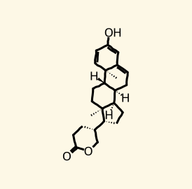 C[C@]12CC[C@H]3[C@@H](CC=C4C=C(O)C=C[C@@]43C)[C@H]1CC[C@@H]2[C@H]1CCC(=O)OC1